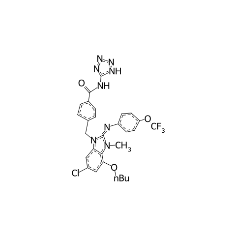 CCCCOc1cc(Cl)cc2c1n(C)c(=Nc1ccc(OC(F)(F)F)cc1)n2Cc1ccc(C(=O)Nc2nnn[nH]2)cc1